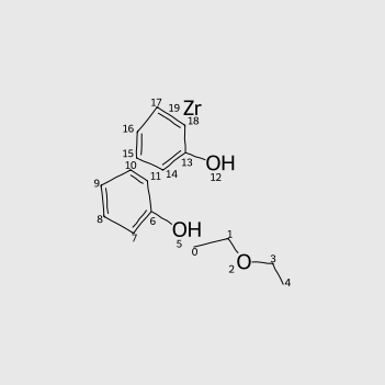 CCOCC.Oc1ccccc1.Oc1ccccc1.[Zr]